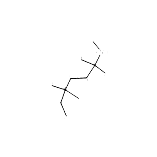 CCC(C)(C)CCC(C)(C)NC